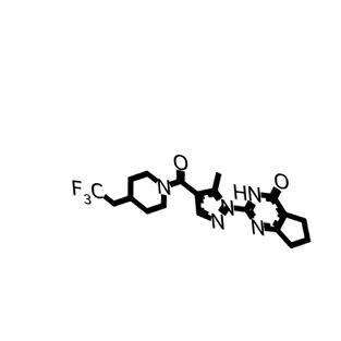 Cc1c(C(=O)N2CCC(CC(F)(F)F)CC2)cnn1-c1nc2c(c(=O)[nH]1)CCC2